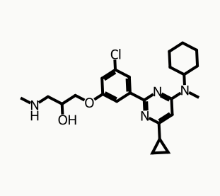 CNCC(O)COc1cc(Cl)cc(-c2nc(C3CC3)cc(N(C)C3CCCCC3)n2)c1